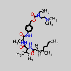 BCN(CCN(C)C)C(=O)OCc1ccc(NC(=O)[C@H](C)NC(=O)[C@@H](NC(=O)BBC(C)CCCC)C(C)C)cc1